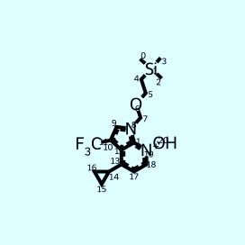 C[Si](C)(C)CCOCn1cc(C(F)(F)F)c2c(C3CC3)cc[n+](O)c21